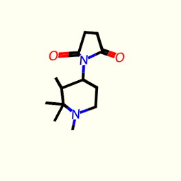 CC1C(N2C(=O)CCC2=O)CCN(C)C1(C)C